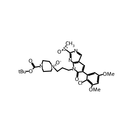 COc1cc(OC)c(Cl)c(-c2cc3cnc([S+](C)[O-])nc3n(CCC[N+]3([O-])CCN(C(=O)OC(C)(C)C)CC3)c2=O)c1